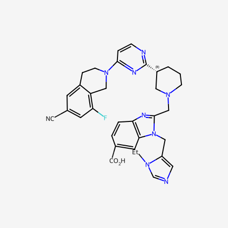 CCn1cncc1Cn1c(CN2CCC[C@@H](c3nccc(N4CCc5cc(C#N)cc(F)c5C4)n3)C2)nc2ccc(C(=O)O)cc21